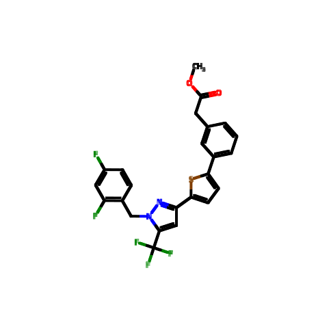 COC(=O)Cc1cccc(-c2ccc(-c3cc(C(F)(F)F)n(Cc4ccc(F)cc4F)n3)s2)c1